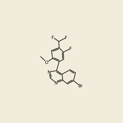 COc1cc(C(F)F)c(F)cc1-c1ncnc2cc(Br)ccc12